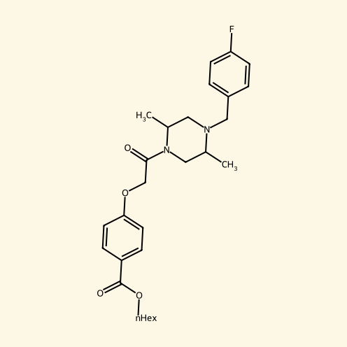 CCCCCCOC(=O)c1ccc(OCC(=O)N2CC(C)N(Cc3ccc(F)cc3)CC2C)cc1